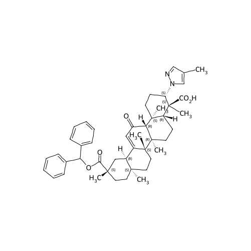 Cc1cnn([C@H]2CC[C@@]3(C)[C@@H](CC[C@]4(C)[C@@H]3C(=O)C=C3[C@@H]5C[C@@](C)(C(=O)OC(c6ccccc6)c6ccccc6)CC[C@]5(C)CC[C@]34C)[C@]2(C)C(=O)O)c1